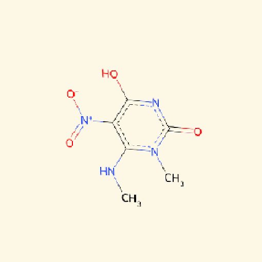 CNc1c([N+](=O)[O-])c(O)nc(=O)n1C